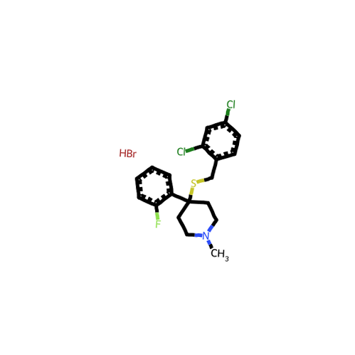 Br.CN1CCC(SCc2ccc(Cl)cc2Cl)(c2ccccc2F)CC1